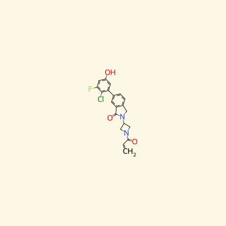 C=CC(=O)N1CC(N2Cc3ccc(-c4cc(O)cc(F)c4Cl)cc3C2=O)C1